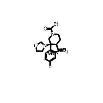 CCC(=O)N1CCC(C(=O)NC)C(c2ccc(F)cc2C)(N2CCOC2)C1